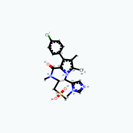 Cc1c(-c2ccc(Cl)cc2)c(C(=O)N(C)CCS(C)(=O)=O)n(Cc2cncn2C)c1C(F)(F)F